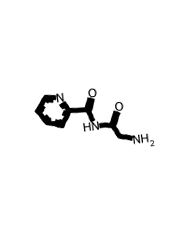 NCC(=O)NC(=O)c1ccccn1